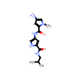 CC(C#N)CNC(=O)c1cc(NC(=O)c2cc(N)cn2C)c[nH]1